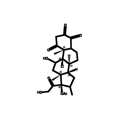 CC(=O)O[C@]1(C(=O)CO)C(C)C[C@H]2[C@@H]3CCC4C(=O)C(=O)CC(=O)[C@]4(C)[C@@]3(Cl)C(O)C[C@@]21C